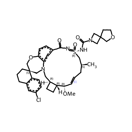 CO[C@H]1/C=C/C[C@H](C)C[S@@](=O)(NC(=O)N2CC3(CCOC3)C2)=NC(=O)c2ccc3c(c2)N(C[C@@H]2CC[C@H]21)C[C@@]1(CCCc2cc(Cl)ccc21)CO3